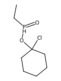 CC[PH](=O)OC1(Cl)CCCCC1